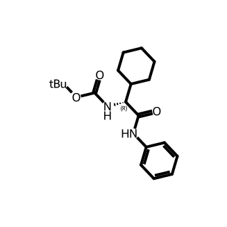 CC(C)(C)OC(=O)N[C@@H](C(=O)Nc1ccccc1)C1CCCCC1